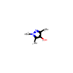 CCCCc1nn(CCCC)c(C(C)CC)c1O